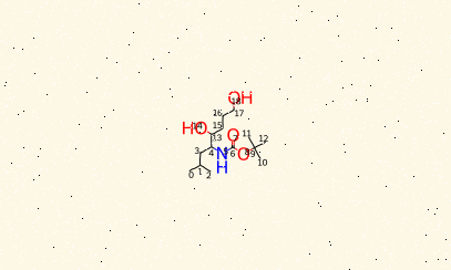 CC(C)CC(NC(=O)OC(C)(C)C)C(O)CCCO